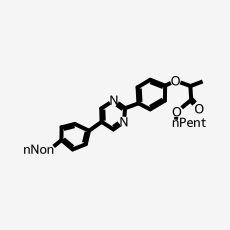 CCCCCCCCCc1ccc(-c2cnc(-c3ccc(OC(C)C(=O)OCCCCC)cc3)nc2)cc1